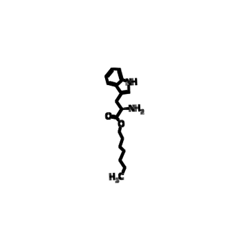 CCCCCCCOC(=O)[C@H](N)Cc1c[nH]c2ccccc12